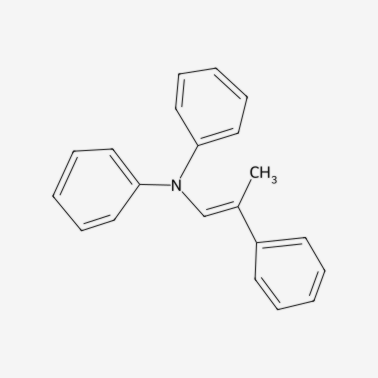 CC(=CN(c1ccccc1)c1ccccc1)c1ccccc1